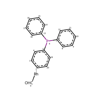 O=[CH][Rh].c1ccc(P(c2ccccc2)c2ccccc2)cc1